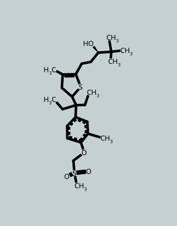 CCC(CC)(c1ccc(OCS(C)(=O)=O)c(C)c1)C1CC(C)=C(CC[C@@H](O)C(C)(C)C)S1